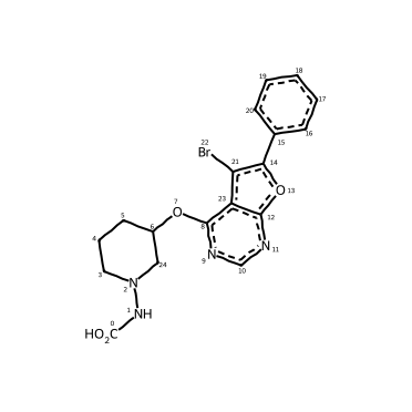 O=C(O)NN1CCCC(Oc2ncnc3oc(-c4ccccc4)c(Br)c23)C1